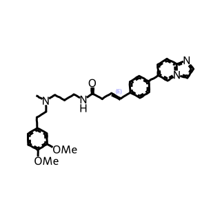 COc1ccc(CCN(C)CCCNC(=O)C/C=C/c2ccc(-c3ccc4nccn4c3)cc2)cc1OC